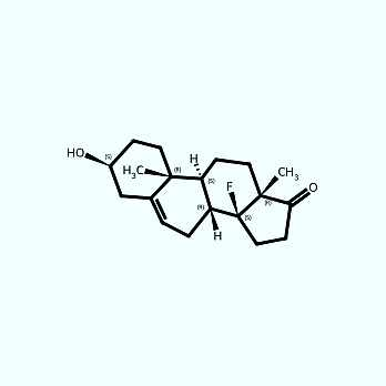 C[C@]12CC[C@H](O)CC1=CC[C@@H]1[C@@H]2CC[C@]2(C)C(=O)CC[C@]12F